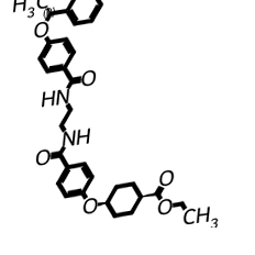 CCOC(=O)[C@H]1CC[C@@H](Oc2ccc(C(=O)NCCNC(=O)c3ccc(O[C@H](C)c4ccccc4)cc3)cc2)CC1